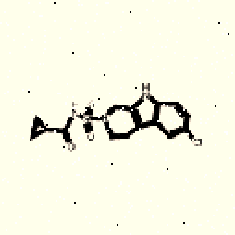 O=C(NS(=O)(=O)N1CCc2c([nH]c3ccc(Cl)cc23)C1)C1CC1